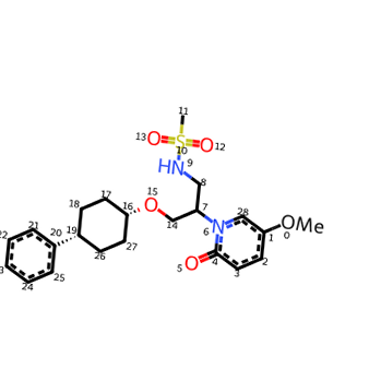 COc1ccc(=O)n(C(CNS(C)(=O)=O)CO[C@H]2CC[C@@H](c3ccccc3)CC2)c1